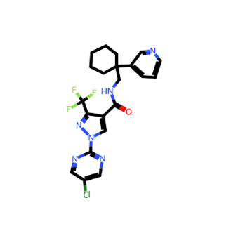 O=C(NCC1(c2cccnc2)CCCCC1)c1cn(-c2ncc(Cl)cn2)nc1C(F)(F)F